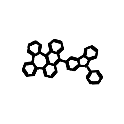 c1ccc(-n2c3ccccc3c3cc(-c4c5ccccc5c5c6c(cccc46)-c4ccccc4-c4ccccc4-5)ccc32)cc1